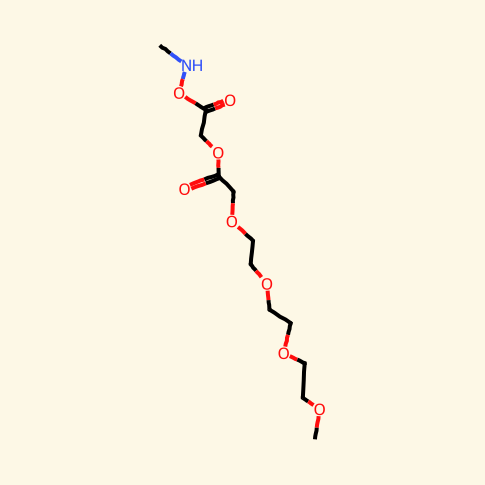 CNOC(=O)COC(=O)COCCOCCOCCOC